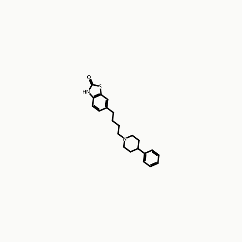 O=c1[nH]c2ccc(CCCCN3CCC(c4ccccc4)CC3)cc2s1